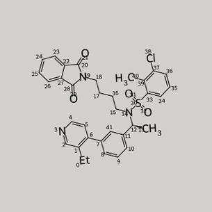 CCc1cnccc1-c1cccc([C@H](C)N(CCCCN2C(=O)c3ccccc3C2=O)S(=O)(=O)c2cccc(Cl)c2C)c1